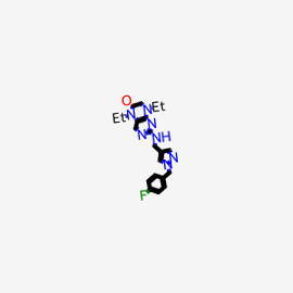 CCN1CC(=O)N(CC)c2cnc(NCc3cnn(Cc4ccc(F)cc4)c3)nc21